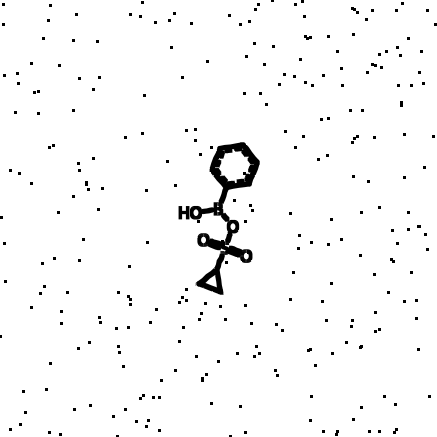 O=S(=O)(OB(O)c1ccccc1)C1CC1